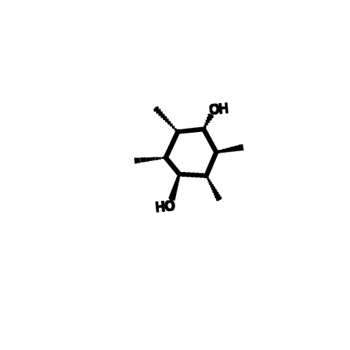 C[C@@H]1[C@H](C)[C@H](O)[C@@H](C)[C@H](C)[C@H]1O